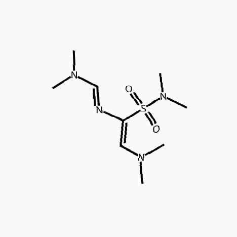 CN(C)C=NC(=CN(C)C)S(=O)(=O)N(C)C